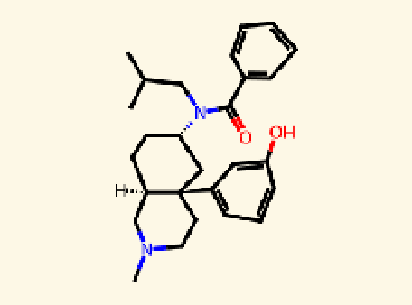 CC(C)CN(C(=O)c1ccccc1)[C@H]1CC[C@@H]2CN(C)CC[C@@]2(c2cccc(O)c2)C1